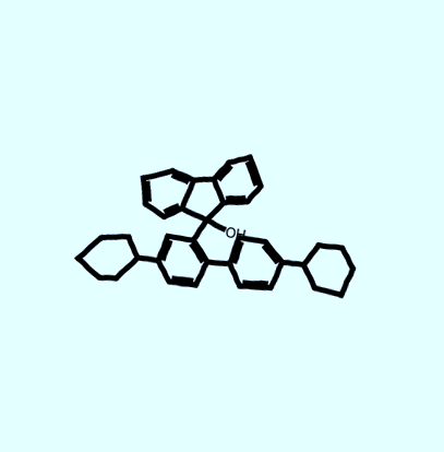 OC1(c2cc(C3CCCCC3)ccc2-c2ccc(C3CCCCC3)cc2)c2ccccc2-c2ccccc21